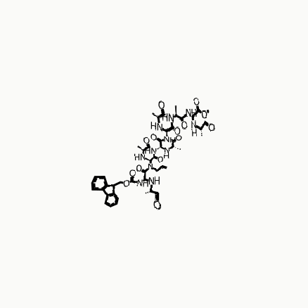 C=CCN(C(=O)[C@H](NC(=O)OCC1c2ccccc2-c2ccccc21)N[C@@H](C)C=O)[C@@H](N[C@@H](C)C=O)C(=O)N[C@@H](N[C@@H](C)C=O)C(=O)N[C@@H](N[C@@H](C)C=O)C(=O)N[C@@H](C)C(=O)N[C@@H](N[C@@H](C)C=O)C(=O)OC